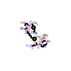 CC(=O)N1CC[C@H]2CC[C@@H](C(=O)N[C@@H](CCC(N)=O)COc3cc(C)cc(CCCCCC(=O)N[C@H](C(=O)N4C[C@H](O)C[C@H]4C(=O)N[C@@H](C)c4ccc(-c5scnc5C)cc4)C(C)(C)C)c3F)N2C(=O)[C@@H](NC(=O)OC(C)(C)C)C1